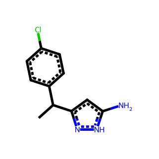 CC(c1ccc(Cl)cc1)c1cc(N)[nH]n1